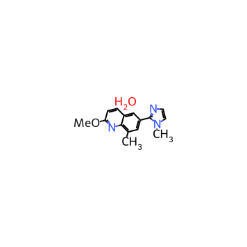 COc1ccc2cc(-c3nccn3C)cc(C)c2n1.O